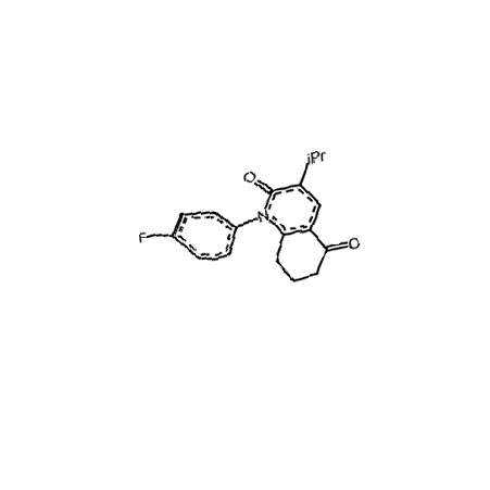 CC(C)c1cc2c(n(-c3ccc(F)cc3)c1=O)CCCC2=O